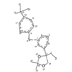 CCC1(c2cccc(Sc3ccc(C(C)(C)C)cc3)c2)COC(C)(C)O1